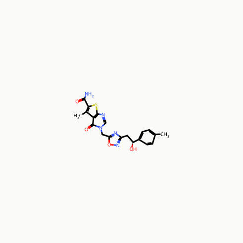 Cc1ccc([C@@H](O)Cc2noc(Cn3cnc4sc(C(N)=O)c(C)c4c3=O)n2)cc1